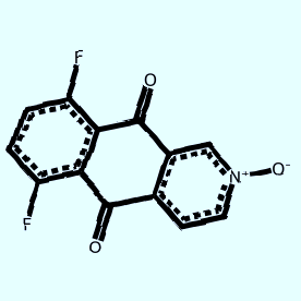 O=C1c2cc[n+]([O-])cc2C(=O)c2c(F)ccc(F)c21